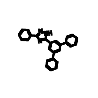 c1ccc(-c2cc(-c3ccccc3)cc(-c3nc(-c4ccccc4)n[nH]3)c2)cc1